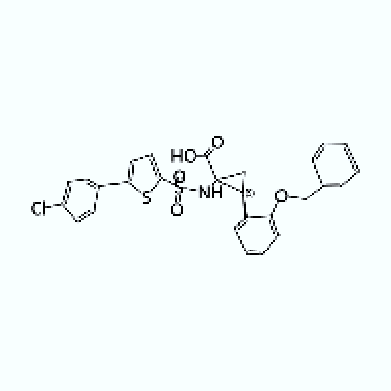 O=C(O)C1(NS(=O)(=O)c2ccc(-c3ccc(Cl)cc3)s2)C[C@H]1c1ccccc1OCc1ccccc1